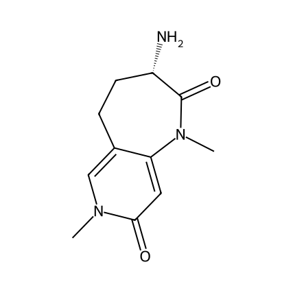 CN1C(=O)[C@@H](N)CCc2cn(C)c(=O)cc21